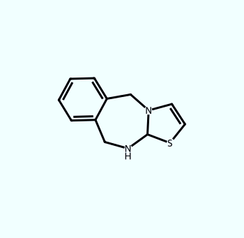 C1=CN2Cc3ccccc3CNC2S1